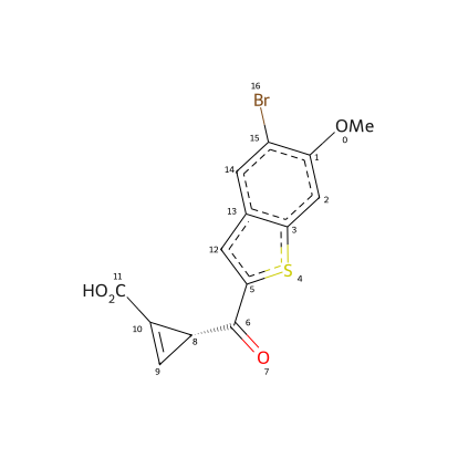 COc1cc2sc(C(=O)[C@@H]3C=C3C(=O)O)cc2cc1Br